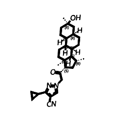 C[C@@H]1C[C@H](C(=O)Cn2cc(C#N)c(C3CC3)n2)[C@@]2(C)CC[C@H]3[C@@H](CC[C@@H]4C[C@](C)(O)CC[C@@H]43)[C@H]12